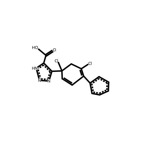 O=C(O)c1[nH]nnc1C1(Cl)C=CC(c2ccccc2)=C(Cl)C1